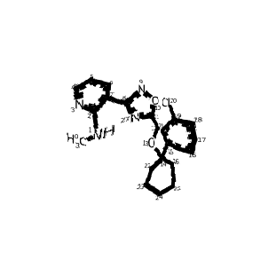 CNc1ncccc1-c1noc(COC2(c3cccc(Cl)c3)CCCCC2)n1